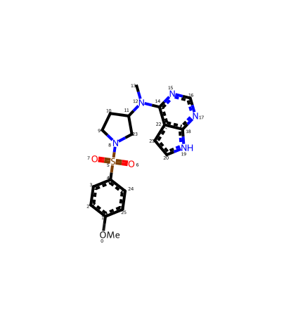 COc1ccc(S(=O)(=O)N2CCC(N(C)c3ncnc4[nH]ccc34)C2)cc1